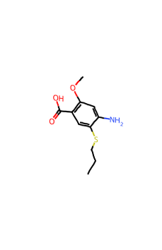 CCCSc1cc(C(=O)O)c(OC)cc1N